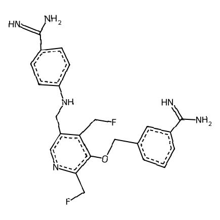 N=C(N)c1ccc(NCc2cnc(CF)c(OCc3cccc(C(=N)N)c3)c2CF)cc1